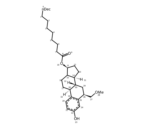 CCCCCCCCCCCCCCCCCC(=O)O[C@H]1CC[C@@H]2C1CC[C@@H]1c3ccc(O)cc3[C@H](COC)C[C@H]12